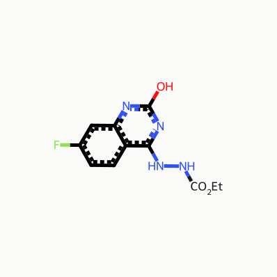 CCOC(=O)NNc1nc(O)nc2cc(F)ccc12